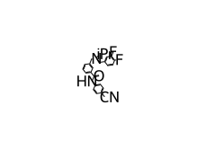 CC(C)N(Cc1cccc(C(=O)Nc2ccc(C#N)cc2)c1)Cc1ccc(F)c(F)c1